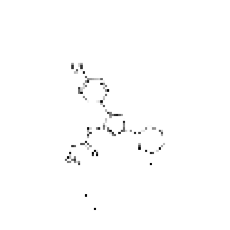 CCC(=O)OC1=CN(C2CCCCC2)CN1c1ccc(N)nc1